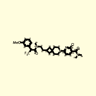 COc1cccc(C(C(=O)N(C)CCC2CC3(CCN(c4ccc(C(=O)N(C)C)c(Cl)n4)CC3)C2)C(F)(F)F)c1